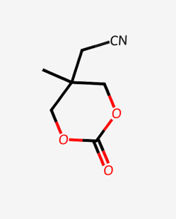 CC1(CC#N)COC(=O)OC1